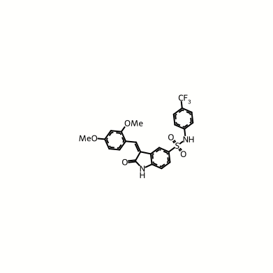 COc1ccc(C=C2C(=O)Nc3ccc(S(=O)(=O)Nc4ccc(C(F)(F)F)cc4)cc32)c(OC)c1